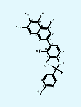 Cc1ccc(C(F)(F)Oc2ccc(-c3cc(F)c4c(F)c(F)c(F)cc4c3)c(F)c2F)cc1